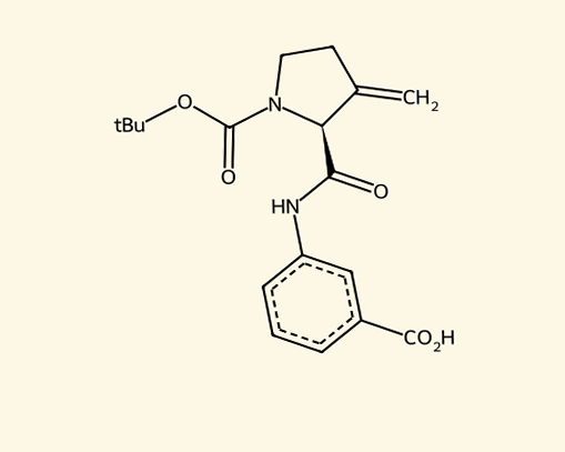 C=C1CCN(C(=O)OC(C)(C)C)[C@@H]1C(=O)Nc1cccc(C(=O)O)c1